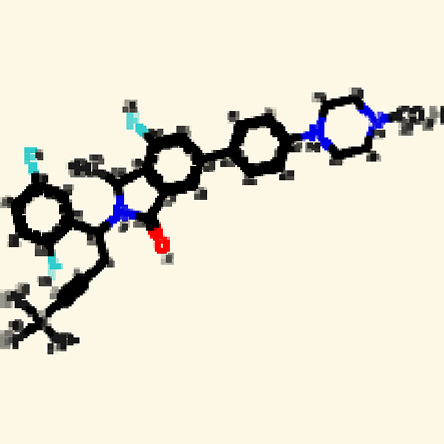 CC(C)[Si](C#CCC(c1cc(F)ccc1F)N1C(=O)c2cc(-c3ccc(N4CCN(C(=O)O)CC4)cc3)cc(F)c2C1C(C)(C)C)(C(C)C)C(C)C